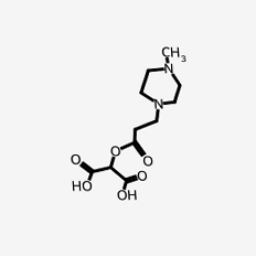 CN1CCN(CCC(=O)OC(C(=O)O)C(=O)O)CC1